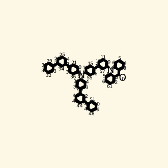 O=c1c2ccccc2n(-c2cccc(-c3ccc(N(c4ccc(-c5cccc(-c6ccccc6)c5)cc4)c4ccc(-c5cccc(-c6ccccc6)c5)cc4)cc3)c2)c2ccccc12